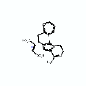 CC1=NCCn2c1cc1c2-c2ccccc2CC1.O=C(O)/C=C/C(=O)O